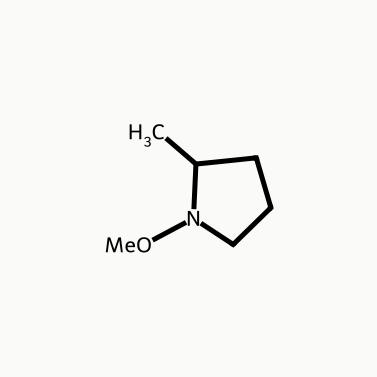 CON1CCCC1C